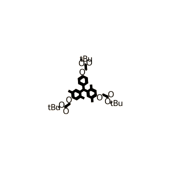 Cc1cc(C(c2ccc(OCC(=O)OC(C)(C)C)cc2)c2cc(C)c(OCC(=O)OC(C)(C)C)cc2C)c(C)cc1OCC(=O)OC(C)(C)C